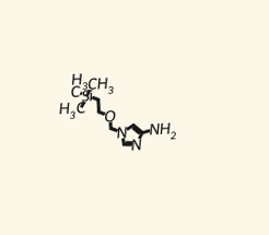 C[Si](C)(C)CCOCn1cnc(N)c1